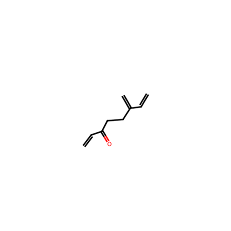 C=CC(=C)CCC(=O)C=C